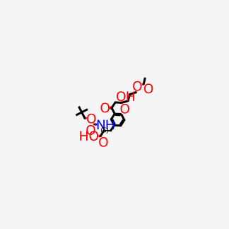 CC(=O)OCCCC1(O)CC(=O)c2cc(C[C@H](NC(=O)OCC(C)(C)C)C(=O)O)ccc2O1